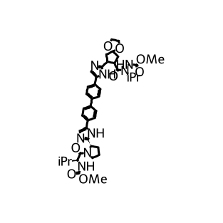 COC(=O)N[C@H](C(=O)N1CCC[C@H]1c1ncc(-c2ccc(-c3ccc(-c4cnc(C5CC6(CC5C(=O)N(NC(=O)OC)C(C)C)OCCO6)[nH]4)cc3)cc2)[nH]1)C(C)C